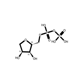 O=P(O)(O)OP(=O)(O)OC[C@H]1O[CH][C@H](O)[C@@H]1O